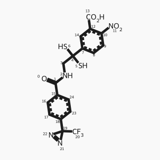 O=C(NCC(S)(S)c1ccc([N+](=O)[O-])c(C(=O)O)c1)c1ccc(C2(C(F)(F)F)N=N2)cc1